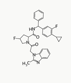 Cc1nc2ccccc2n1CC(=O)N1CC(F)CC1C(=O)NC(c1ccccc1)c1ccc(C2CC2)c(F)c1